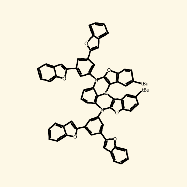 CC(C)(C)c1ccc2oc3c(c2c1)B1c2c(cccc2N(c2cc(-c4cc5ccccc5o4)cc(-c4cc5ccccc5o4)c2)c2oc4ccc(C(C)(C)C)cc4c21)N3c1cc(-c2cc3ccccc3o2)cc(-c2cc3ccccc3o2)c1